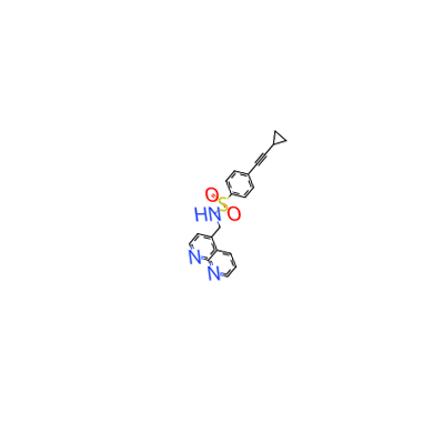 O=S(=O)(NCc1ccnc2ncccc12)c1ccc(C#CC2CC2)cc1